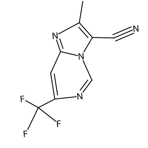 Cc1nc2cc(C(F)(F)F)ncn2c1C#N